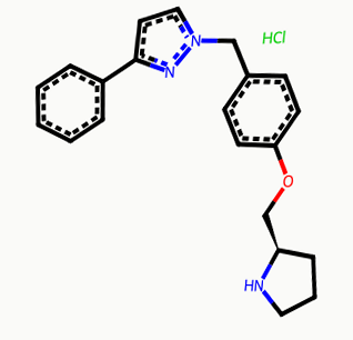 Cl.c1ccc(-c2ccn(Cc3ccc(OC[C@H]4CCCN4)cc3)n2)cc1